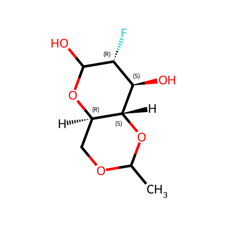 CC1OC[C@H]2OC(O)[C@H](F)[C@@H](O)[C@@H]2O1